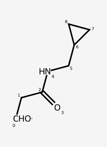 O=[C]CC(=O)NCC1CC1